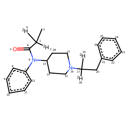 [2H]C([2H])(C)C(=O)N(c1ccccc1)C1CCN(C([2H])([2H])Cc2ccccc2)CC1